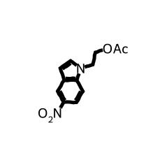 CC(=O)OCCn1ccc2cc([N+](=O)[O-])ccc21